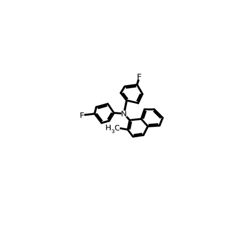 Cc1ccc2ccccc2c1N(c1ccc(F)cc1)c1ccc(F)cc1